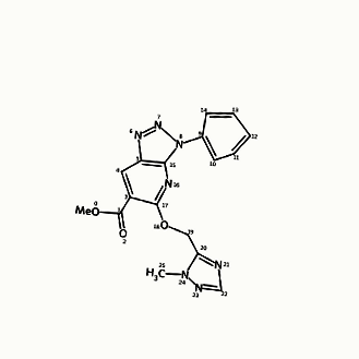 COC(=O)c1cc2nnn(-c3ccccc3)c2nc1OCc1ncnn1C